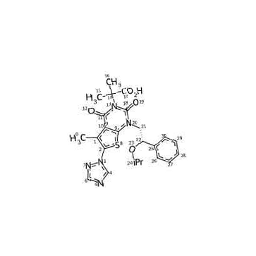 Cc1c(-n2cncn2)sc2c1c(=O)n(C(C)(C)C(=O)O)c(=O)n2C[C@@H](OC(C)C)c1ccccc1